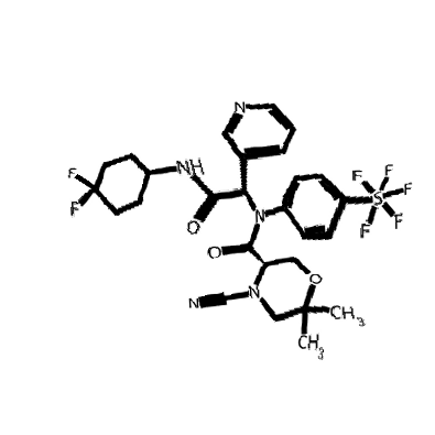 CC1(C)CN(C#N)[C@@H](C(=O)N(c2ccc(S(F)(F)(F)(F)F)cc2)C(C(=O)NC2CCC(F)(F)CC2)c2cccnc2)CO1